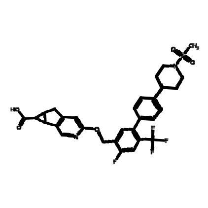 CS(=O)(=O)N1CCC(c2ccc(-c3cc(COc4cc5c(cn4)C4C(C5)C4C(=O)O)c(F)cc3C(F)(F)F)cc2)CC1